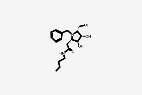 CCCCNC(=O)C[C@@H]1[C@H](O)[C@H](O)[C@@H](CO)N1Cc1ccccc1